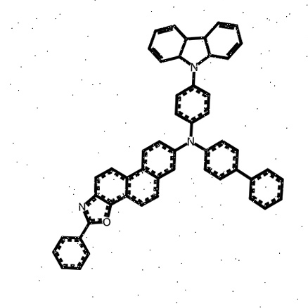 C1=CC2C3C=CC=CC3N(c3ccc(N(c4ccc(-c5ccccc5)cc4)c4ccc5c(ccc6c5ccc5nc(-c7ccccc7)oc56)c4)cc3)C2C=C1